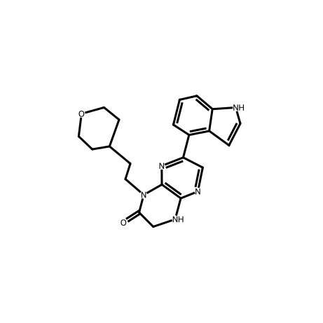 O=C1CNc2ncc(-c3cccc4[nH]ccc34)nc2N1CCC1CCOCC1